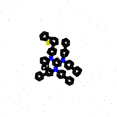 Cc1cccc(N(c2ccc(-c3cccc4c3sc3ccccc34)cc2)c2cc(N(c3ccc(-c4ccccc4)cc3)c3ccc(-c4ccccc4)cc3)cc(N(c3ccc(-c4ccccc4)cc3)c3ccc(-c4ccccc4)cc3)c2)c1